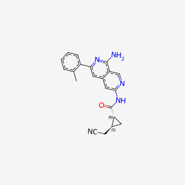 Cc1ccccc1-c1cc2cc(NC(=O)[C@@H]3C[C@H]3CC#N)ncc2c(N)n1